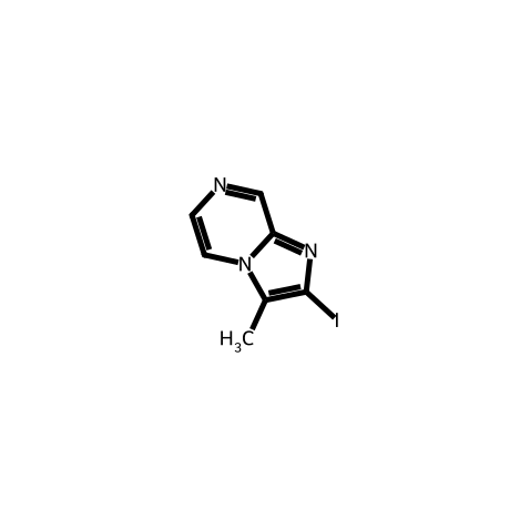 Cc1c(I)nc2cnccn12